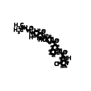 CN(C)CCC(=O)Nc1ccc2c(=O)n(CC3(O)CCN(C(=O)C(CCCNC(=O)c4cc5c(Cl)ccnc5[nH]4)Cc4ccccc4)CC3)cnc2c1